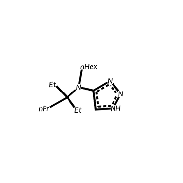 CCCCCCN(c1c[nH]nn1)C(CC)(CC)CCC